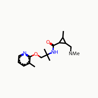 CNCC1C(C)C1C(=O)NC(C)(C)COc1ncccc1C